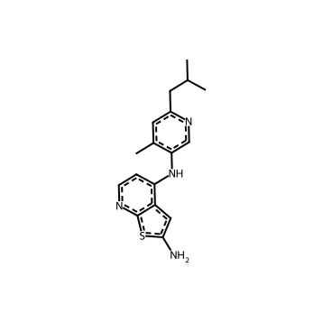 Cc1cc(CC(C)C)ncc1Nc1ccnc2sc(N)cc12